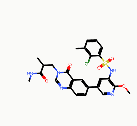 CNC(=O)C(C)Cn1cnc2ccc(-c3cnc(OC)c(NS(=O)(=O)c4cccc(C)c4Cl)c3)cc2c1=O